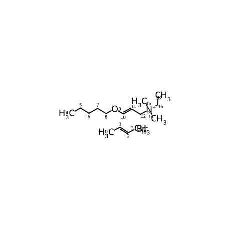 CC=CC.CCCCCOC=CC[N+](C)(C)CC.[Br-]